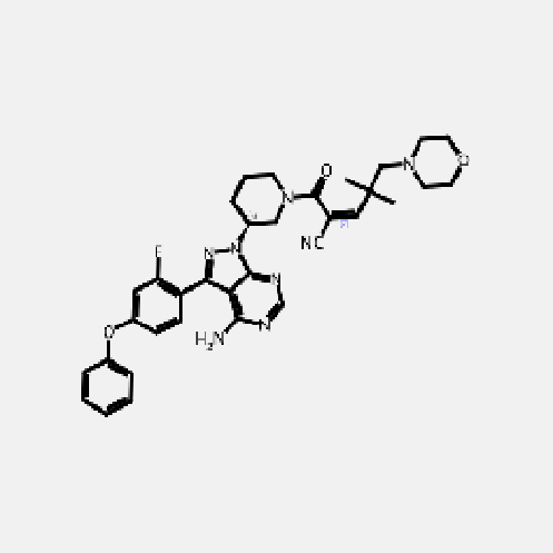 CC(C)(/C=C(/C#N)C(=O)N1CCC[C@H](n2nc(-c3ccc(Oc4ccccc4)cc3F)c3c(N)ncnc32)C1)CN1CCOCC1